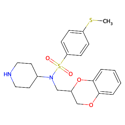 CSc1ccc(S(=O)(=O)N(CC2COc3ccccc3O2)C2CCNCC2)cc1